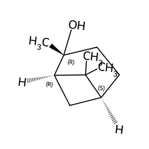 CC1(C)[C@H]2CC[C@@](C)(O)[C@@H]1C2